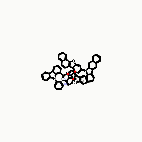 CC1C/C=C(c2cccc3c2oc2ccccc23)/N=C(c2cccc3c4ccccc4n(-c4ccccc4)c23)\N=C/1c1cc(-n2c3ccccc3c3cc4ccccc4cc32)cc2oc3c4ccccc4ccc3c12